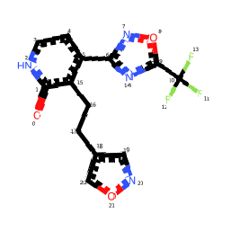 O=c1[nH]ccc(-c2noc(C(F)(F)F)n2)c1CCc1cnoc1